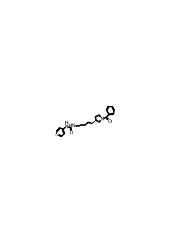 O=C(NCCCCC[C@H]1CCN(C(=O)c2ccccc2)C1)Nc1ccncc1